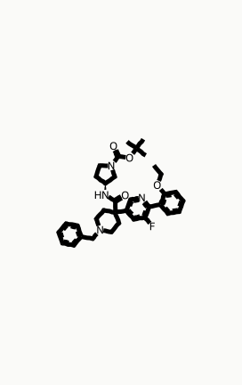 CCOc1ccccc1-c1ncc(C2(C(=O)N[C@@H]3CCN(C(=O)OC(C)(C)C)C3)CCN(Cc3ccccc3)CC2)cc1F